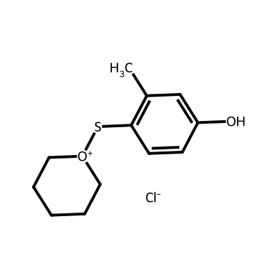 Cc1cc(O)ccc1S[O+]1CCCCC1.[Cl-]